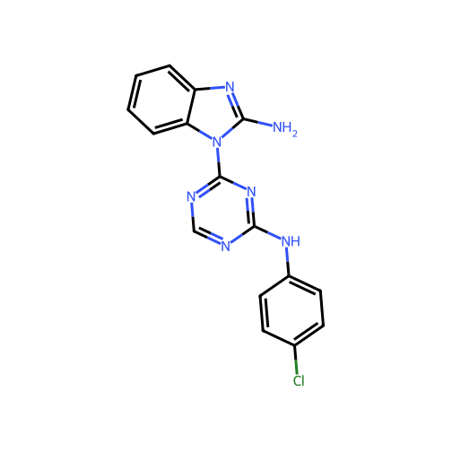 Nc1nc2ccccc2n1-c1ncnc(Nc2ccc(Cl)cc2)n1